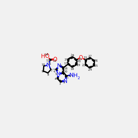 Nc1nccn2c([C@@H]3CCCN3C(=O)O)nc(-c3ccc(Oc4ccccc4)cc3)c12